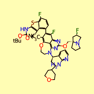 CC(C)(C)OC(=O)Nc1sc2c(F)ccc(-c3c(C(F)(F)F)c4c5c(nc(OC[C@@]67CCCN6C[C@H](F)C7)nc5c3F)N([C@H](CCC3CCOCC3)c3cccnc3N)CCO4)c2c1C#N